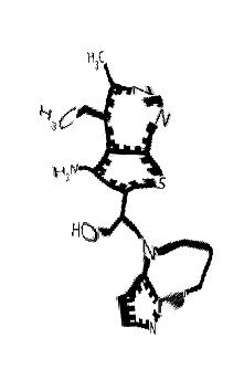 Cc1nnc2sc(C(O)N3CCCn4nccc43)c(N)c2c1C